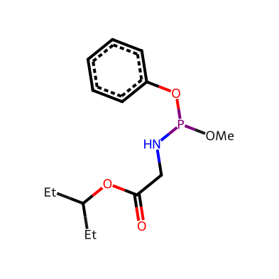 CCC(CC)OC(=O)CNP(OC)Oc1ccccc1